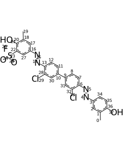 Cc1cc(N=Nc2ccc(-c3ccc(N=Nc4cc(C)c(O)c(S(=O)(=O)F)c4)c(Cl)c3)cc2Cl)ccc1O